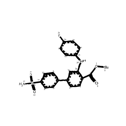 CC(C)(C)OC(=O)c1ccc(-c2ccc(S(N)(=O)=O)cc2)cc1Nc1ccc(F)cc1